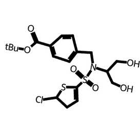 CC(C)(C)OC(=O)c1ccc(CN(C(CO)CO)S(=O)(=O)C2=CCC(Cl)S2)cc1